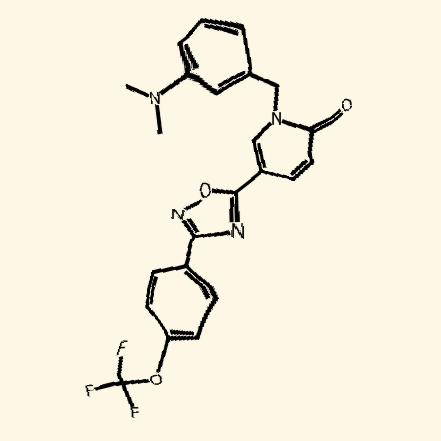 CN(C)c1cccc(Cn2cc(-c3nc(-c4ccc(OC(F)(F)F)cc4)no3)ccc2=O)c1